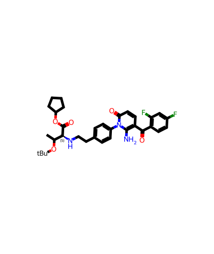 CC(OC(C)(C)C)[C@H](NCCc1ccc(-n2c(N)c(C(=O)c3ccc(F)cc3F)ccc2=O)cc1)C(=O)OC1CCCC1